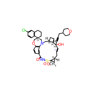 C[C@@]12C[C@H]1C/C=C/[C@@](O)(C#CCC1CCOCC1)[C@@H]1CC[C@H]1CN1C[C@@]3(CCCc4cc(Cl)ccc43)COc3ccc(cc31)C(=O)NS2(=O)=O